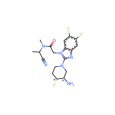 CC(C#N)N(C)C(=O)Cn1c(N2CC[C@@H](F)[C@H](N)C2)nc2cc(F)c(F)cc21